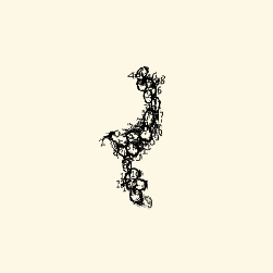 C=C(C)[C@@H]1CC[C@]2(COC(=O)CC(C)(C)CC(=O)OC)CC[C@]3(C)C(CCC4[C@@]5(C)CC[C@H](OC(=O)CC(C)(C)CC(=O)OC)C(C)(C)C5CC[C@]43C)C12